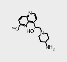 COc1ccc2nccc([C@@H](O)CN3CCC(N)CC3)c2n1